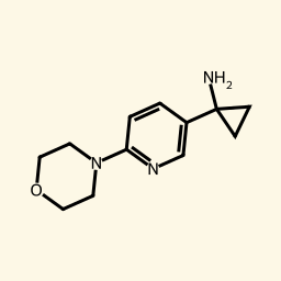 NC1(c2ccc(N3CCOCC3)nc2)CC1